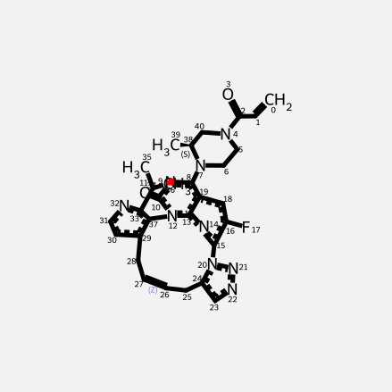 C=CC(=O)N1CCN(c2nc(=O)n3c4nc(c(F)cc24)-n2nncc2C/C=C\Cc2ccnc(C(C)C)c2-3)[C@@H](C)C1